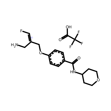 NC/C(=C\F)COc1ccc(C(=O)NC2CCOCC2)cc1.O=C(O)C(F)(F)F